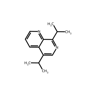 CC(C)c1cnc(C(C)C)c2ncccc12